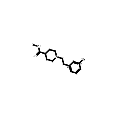 COC(=O)C1CCN(CCc2cccc(Br)c2)CC1